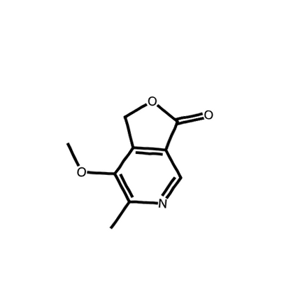 COc1c(C)ncc2c1COC2=O